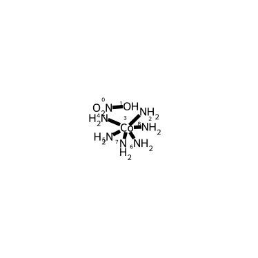 O=[N+]([O-])O.[NH2][Co]([NH2])([NH2])([NH2])([NH2])[NH2]